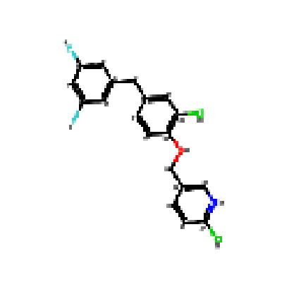 Fc1cc(F)cc(Cc2ccc(OCc3ccc(Cl)nc3)c(Cl)c2)c1